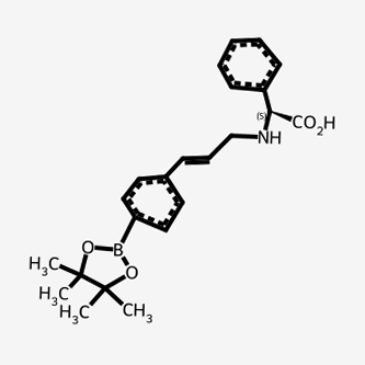 CC1(C)OB(c2ccc(C=CCN[C@H](C(=O)O)c3ccccc3)cc2)OC1(C)C